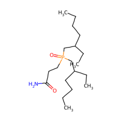 CCCCC(CC)CP(=O)(CCC(N)=O)CC(CC)CCCC